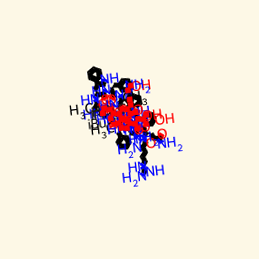 CC[C@H](C)[C@H](NC(=O)[C@H](Cc1c[nH]c2ccccc12)NC(=O)[C@H](Cc1ccccc1)NC(=O)[C@H](Cc1ccc(O)cc1)NC(=O)[C@H](CCC(N)=O)NC(=O)[C@@H](N)CCCNC(=N)N)C(=O)N[C@@H](C)C(=O)N[C@@H](Cc1c[nH]c2ccccc12)C(=O)N[C@@H](Cc1ccc(O)cc1)C(=O)N[C@@H](C)C(=O)N[C@@H](CC(C)C)C(=O)N[C@@H](C)C(=O)N[C@@H](CC(N)=O)C(=O)N[C@@H](CO)C(=O)N[C@@H](CCCCN)C(=O)O